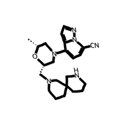 C[C@@H]1CN(c2ccc(C#N)n3nccc23)C[C@H](CN2CCCC3(CCCNC3)C2)O1